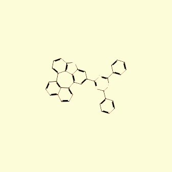 c1ccc(C2=NC(c3cc4c5c(c3)oc3cccc(c35)-c3cccc5cccc-4c35)=NC(c3ccccc3)N2)cc1